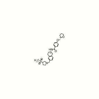 CS(=O)(=O)C1CCN(Cc2ccc3c(c2)CC[C@H](NC(=O)c2ccc(OC[C@@H]4CCCO4)cc2)C3)C1